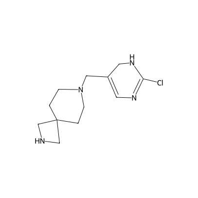 ClC1=NC=C(CN2CCC3(CC2)CNC3)CN1